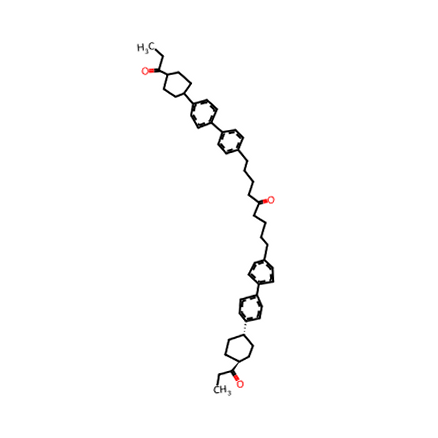 CCC(=O)C1CCC(c2ccc(-c3ccc(CCCCC(=O)CCCCc4ccc(-c5ccc([C@H]6CC[C@H](C(=O)CC)CC6)cc5)cc4)cc3)cc2)CC1